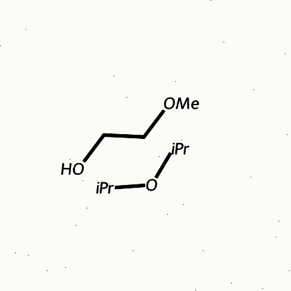 CC(C)OC(C)C.COCCO